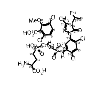 COc1c(Cl)ccc(Cl)c1C(=O)O.CP(=O)(O)CCC(N)C(=O)O.Cc1nn(-c2cc(NS(C)(=O)=O)c(Cl)cc2Cl)c(=O)n1C(F)F